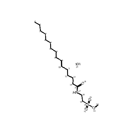 CCCCCCCCCCCCCCCC(=O)NCCS(=O)(=O)OC.[KH]